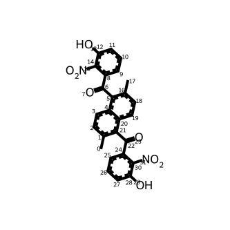 Cc1ccc2c(C(=O)c3cccc(O)c3[N+](=O)[O-])c(C)ccc2c1C(=O)c1cccc(O)c1[N+](=O)[O-]